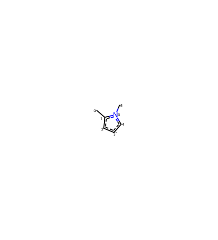 Cc1c[c]cn1C